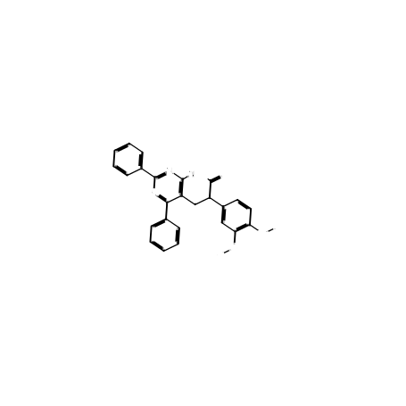 COc1ccc(C(Cc2c(N)nc(-c3ccccc3)nc2-c2ccccc2)C(=O)O)cc1OC